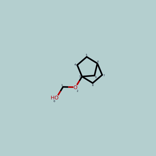 OCOC12CCC(CC1)C2